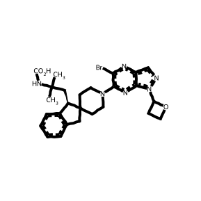 CC(C)(C[C@@H]1c2ccccc2CC12CCN(c1nc3c(cnn3C3CCO3)nc1Br)CC2)NC(=O)O